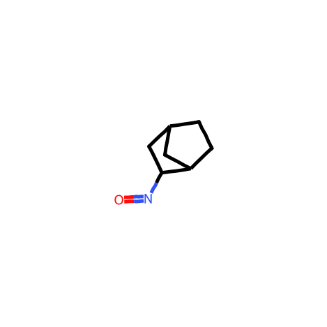 O=NC1CC2CCC1C2